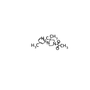 Cc1cccc(N2CCN(S(C)(=O)=O)CC2(C)C)c1